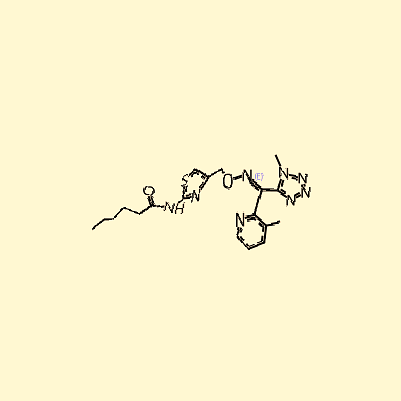 CCCCCC(=O)Nc1nc(CO/N=C(\c2ncccc2C)c2nnnn2C)cs1